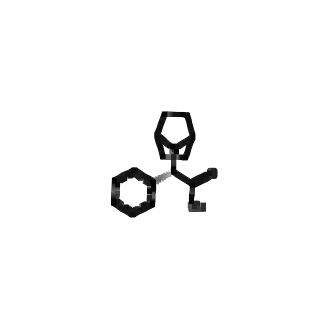 CC(C)(C)C(=O)[C@H](c1ccccc1)N1C2CCC1CC2